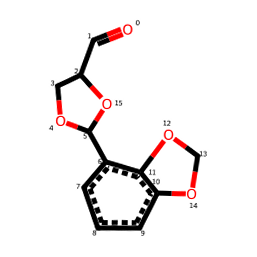 O=CC1COC(c2cccc3c2OCO3)O1